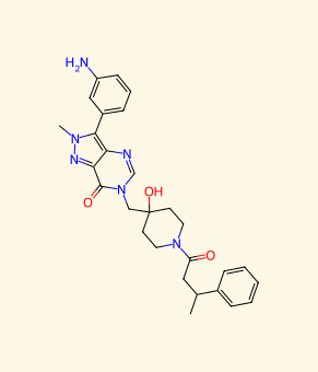 CC(CC(=O)N1CCC(O)(Cn2cnc3c(-c4cccc(N)c4)n(C)nc3c2=O)CC1)c1ccccc1